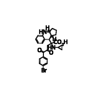 O=C(CC(NC1CC1)(C(=O)O)C1c2ccccc2N[C@@H]2CCC[C@H]12)C(=O)c1ccc(Br)cc1